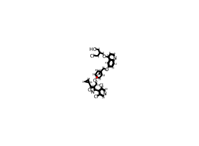 OCC(CCl)COc1ccnc2ccc(OCC34CCC(OCc5c(-c6c(Cl)cncc6Cl)noc5C5CC5)(CC3)CC4)cc12